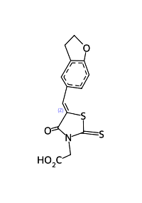 O=C(O)CN1C(=O)/C(=C/c2ccc3c(c2)CCO3)SC1=S